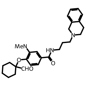 CNc1cc(C(=O)NCCCN2CCc3ccccc3C2)ccc1OC1(C=O)CCCCC1